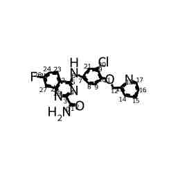 NC(=O)c1nc(Nc2ccc(OCc3ccccn3)c(Cl)c2)c2c[c]c(F)cc2n1